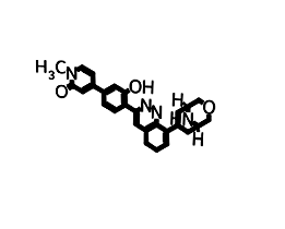 Cn1ccc(-c2ccc(-c3cc4c(nn3)C(C3C[C@H]5COC[C@@H](C3)N5)=CCC4)c(O)c2)cc1=O